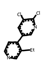 CCc1cnccc1-c1cnc(Cl)c(Cl)c1